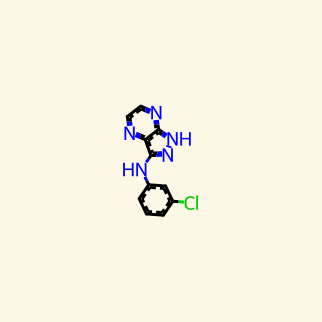 Clc1cccc(Nc2n[nH]c3nccnc23)c1